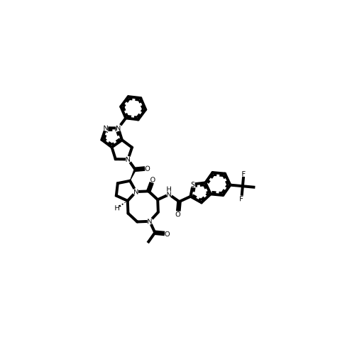 CC(=O)N1CC[C@H]2CC[C@@H](C(=O)N3Cc4cnn(-c5ccccc5)c4C3)N2C(=O)C(NC(=O)c2cc3cc(C(C)(F)F)ccc3s2)C1